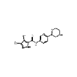 CCc1n[nH]c(C(=O)Nc2ccc(C3CNCCO3)nc2)c1Br